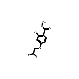 CC(C)(C)OC(=O)c1ccc(OCC(F)F)cc1Cl